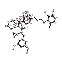 COc1cc(CN(C(=O)C2=C(c3ccc(CCCOc4c(F)ccc(F)c4F)cc3)CC3CNCC2N3C(=O)OC(C)(C)C(Cl)(Cl)Cl)C2CC2)cc(OC)c1